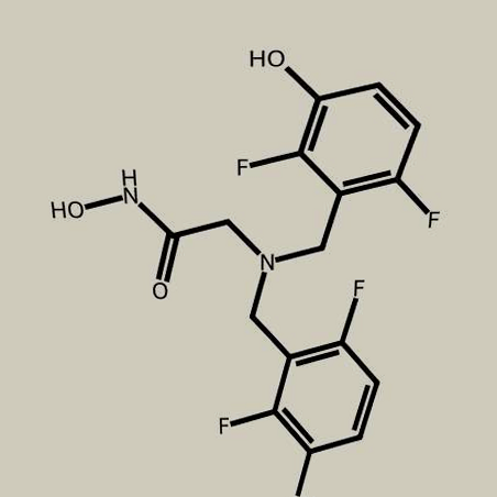 O=C(CN(Cc1c(F)ccc(O)c1F)Cc1c(F)ccc(O)c1F)NO